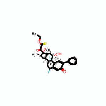 CCOC(=S)C(=O)[C@@]1(O)[C@H](C)C[C@H]2[C@@H]3C[C@H](F)C4=CC(=O)C(c5ccccc5)=C[C@]4(C)[C@@]3(F)[C@@H](O)C[C@@]21C